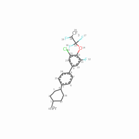 CCCC1CCC(c2ccc(-c3cc(F)c(OC(F)(F)C(F)C(F)(F)F)c(Cl)c3)cc2)CC1